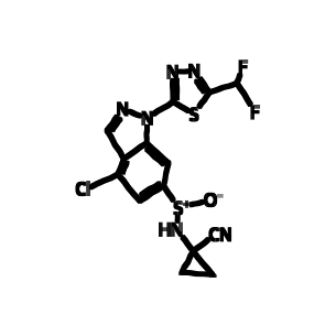 N#CC1(N[S+]([O-])c2cc(Cl)c3cnn(-c4nnc(C(F)F)s4)c3c2)CC1